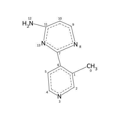 Cc1cnccc1-c1nccc(N)n1